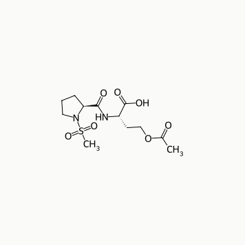 CC(=O)OCC[C@H](NC(=O)[C@@H]1CCCN1S(C)(=O)=O)C(=O)O